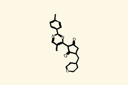 Cc1ccc(-c2ncc(C)c(C3C(=O)CC(CC4CCOCC4)C3=O)n2)cc1